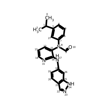 CC(C)c1cccc(N(C=O)c2cccnc2Nc2ccc3cn[nH]c3c2)c1